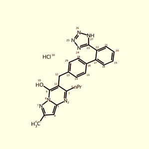 CCCc1nc2cc(C)nn2c(O)c1Cc1ccc(-c2ccccc2-c2nnn[nH]2)cc1.Cl